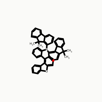 CC1(C)c2ccccc2-c2c(N(c3ccccc3-c3cccc4oc5ccccc5c34)c3cccc4c3C(C)(C)c3ccccc3-4)cccc21